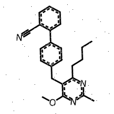 CCCCc1nc(C)nc(OC)c1Cc1ccc(-c2ccccc2C#N)cc1